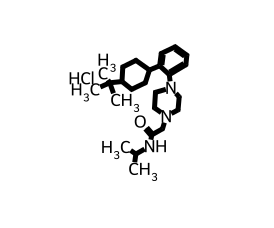 CC(C)NC(=O)CN1CCN(c2ccccc2C2CCC(C(C)(C)C)CC2)CC1.Cl